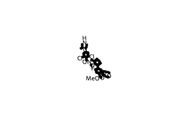 COC(=O)c1cc(F)c(-c2cccc3c2OCN(C(=O)c2c(Cl)cc(N4CCNCC4C)cc2Cl)C3)cc1N1C2CCC1COC2